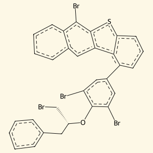 BrC[C@@H](Cc1ccccc1)Oc1c(Br)cc(-c2cccc3sc4c(Br)c5ccccc5cc4c23)cc1Br